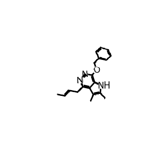 CC=CCc1nnc(OCc2ccccc2)c2[nH]c(C)c(C)c12